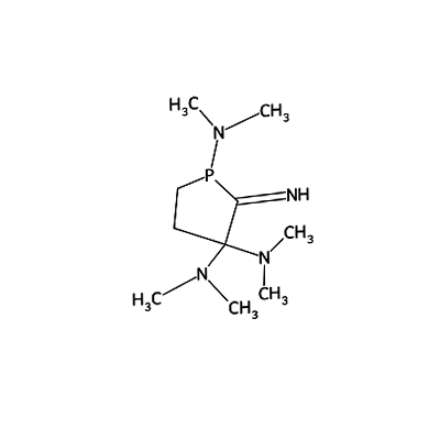 CN(C)P1CCC(N(C)C)(N(C)C)C1=N